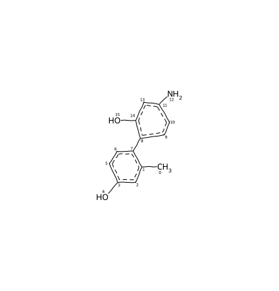 Cc1cc(O)ccc1-c1ccc(N)cc1O